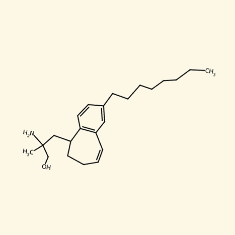 CCCCCCCCc1ccc2c(c1)C=CCCC2CC(C)(N)CO